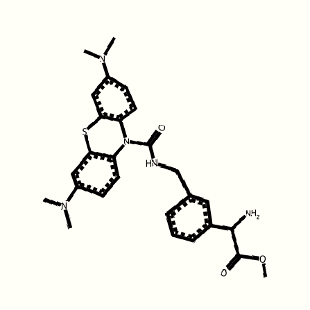 COC(=O)C(N)c1cccc(CNC(=O)N2c3ccc(N(C)C)cc3Sc3cc(N(C)C)ccc32)c1